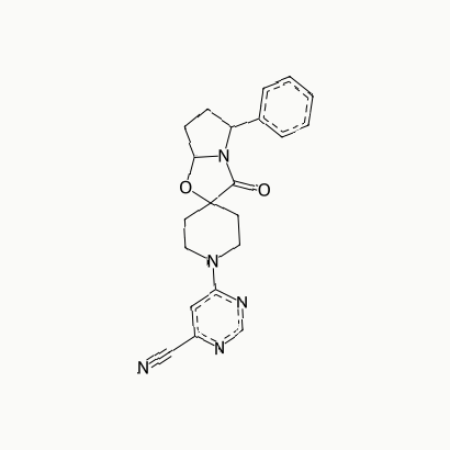 N#Cc1cc(N2CCC3(CC2)OC2CCC(c4ccccc4)N2C3=O)ncn1